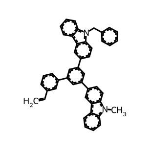 C=Cc1cccc(-c2cc(-c3ccc4c(c3)c3ccccc3n4C)cc(-c3ccc4c(c3)c3ccccc3n4Cc3ccccc3)c2)c1